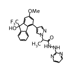 COc1cc(-c2cnn(C(C)C(=O)NNc3ncccn3)c2)c2c(c1)C(O)(C(F)(F)F)c1ccccc1-2